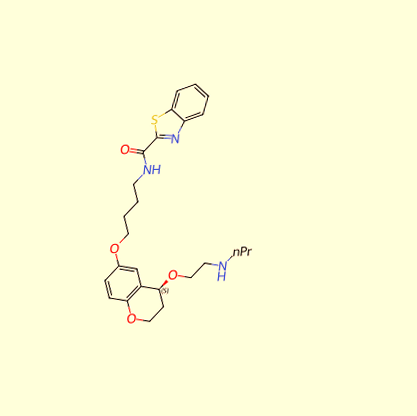 CCCNCCO[C@H]1CCOc2ccc(OCCCCNC(=O)c3nc4ccccc4s3)cc21